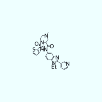 CCn1c(-c2cccnc2)nc2cc(NC(=O)[C@@H]3CN(C)CCN3S(=O)(=O)c3cccs3)ccc21